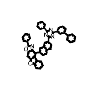 c1ccc(-c2cccc(-c3nc(-c4ccccc4)nc(-c4ccc5ccc(-c6c7nc(-c8ccccc8)oc7cc7oc8ccccc8c67)cc5c4)n3)c2)cc1